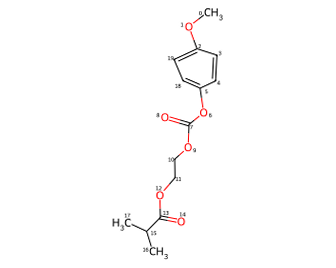 COc1ccc(OC(=O)OCCOC(=O)C(C)C)cc1